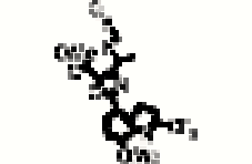 COC(=O)c1oc(-c2ccc(OC)c3nc(C(F)(F)F)ccc23)nc1C(C)/N=C/B=O